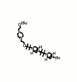 CC(C)(C)OCCN1CCN(CCOC(C)(C)C(C)(C)N2C[C@H]3C[C@@H]2CN3C(C)(C)C(C)(C)N2C[C@@H]3C[C@H]2CN3C(C)(C)C)CC1